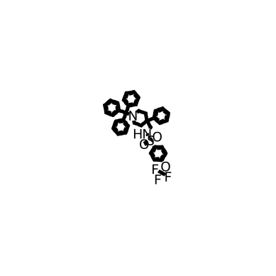 O=S(=O)(NCC1(c2ccccc2)CCN(C(c2ccccc2)(c2ccccc2)c2ccccc2)CC1)c1ccc(OC(F)(F)F)cc1